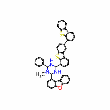 CN1C(c2ccccc2)NC(c2cccc3c2sc2ccc(-c4cccc5c4sc4ccccc45)cc23)NC1c1cccc2oc3ccccc3c12